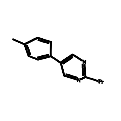 Cc1ccc(-c2cnc(C(C)C)nc2)cc1